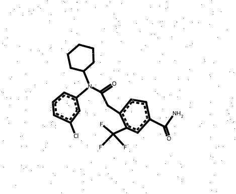 NC(=O)c1ccc(CC(=O)N(c2cccc(Cl)c2)C2CCCCC2)c(C(F)(F)F)c1